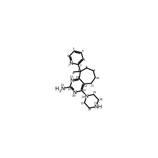 CC1(c2ccccn2)CCCCc2c(N3CCNCC3)nc(N)nc21